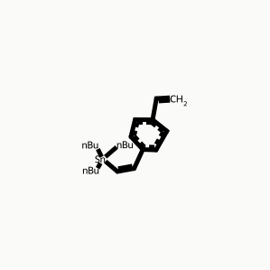 C=Cc1ccc(/C=[CH]\[Sn]([CH2]CCC)([CH2]CCC)[CH2]CCC)cc1